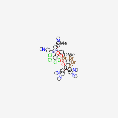 COc1ccc(/C(=C\C2(/C=C(\c3ccc(OC)cc3)c3ccc(N4CCCC4)cc3)OC(=O)c3c(Cl)c(Cl)c(Cl)c(Cl)c32)c2ccc(N3CCCC3)cc2)cc1.O=C1OC(C=C(c2ccc(N3CCCC3)cc2)c2ccc(N3CCCC3)cc2)(C=C(c2ccc(N3CCCC3)cc2)c2ccc(N3CCCC3)cc2)c2c(Br)c(Br)c(Br)c(Br)c21